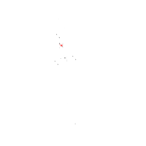 O=Cc1c(F)cc(-c2cnc(N3CC4CCC(C3)N4C3COC3)nc2)cc1F